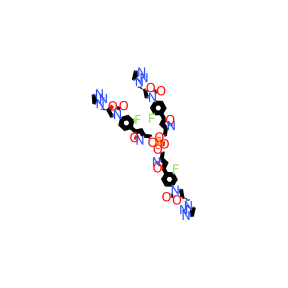 O=C1O[C@@H](Cn2ccnn2)CN1c1ccc(-c2cc(COP(=O)(OCc3cc(-c4ccc(N5C[C@H](Cn6ccnn6)OC5=O)cc4F)on3)OCc3cc(-c4ccc(N5C[C@H](Cn6ccnn6)OC5=O)cc4F)on3)no2)c(F)c1